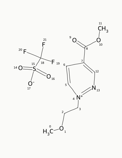 COCC[n+]1ccc(C(=O)OC)cn1.O=S(=O)([O-])C(F)(F)F